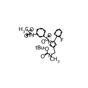 CN(Cc1cc(-c2ccccc2F)n(S(=O)(=O)c2cccc(NS(C)(=O)=O)c2)c1)C(=O)OC(C)(C)C